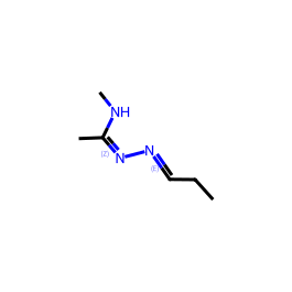 CC/C=N/N=C(/C)NC